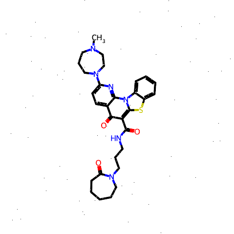 CN1CCCN(c2ccc3c(=O)c(C(=O)NCCCN4CCCCCC4=O)c4sc5ccccc5n4c3n2)CC1